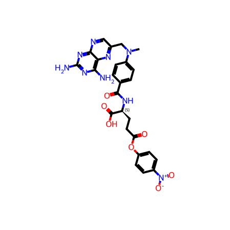 CN(Cc1cnc2nc(N)nc(N)c2n1)c1ccc(C(=O)N[C@@H](CCC(=O)Oc2ccc([N+](=O)[O-])cc2)C(=O)O)cc1